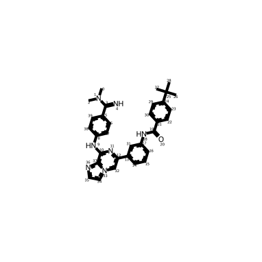 CN(C)C(=N)c1ccc(Nc2nc(-c3cccc(NC(=O)c4ccc(C(C)(C)C)cc4)c3)cn3ccnc23)cc1